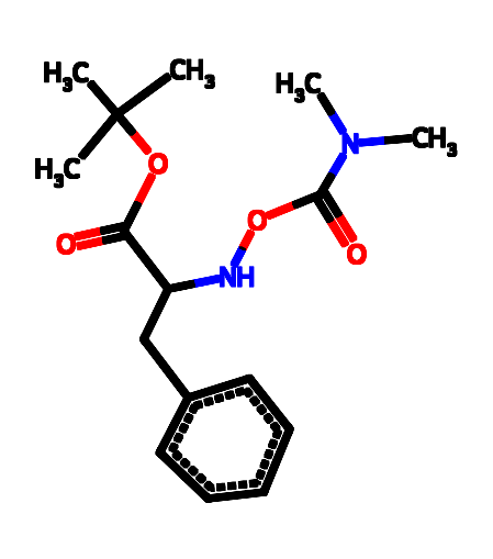 CN(C)C(=O)ONC(Cc1ccccc1)C(=O)OC(C)(C)C